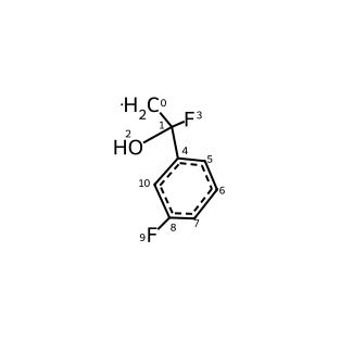 [CH2]C(O)(F)c1cccc(F)c1